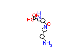 NCc1cccc(C2CCN(C(=O)c3ccc4[nH]c(B(O)O)cc4c3)CC2)c1